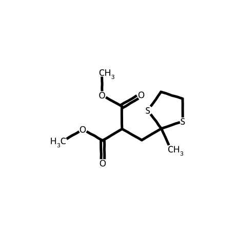 COC(=O)C(CC1(C)SCCS1)C(=O)OC